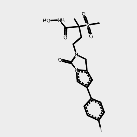 CC(CCN1Cc2cc(-c3ccc(I)cc3)cn2C1=O)(C(=O)NO)S(C)(=O)=O